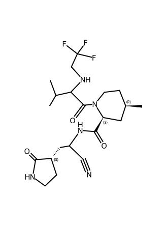 CC(C)C(NCC(F)(F)F)C(=O)N1CC[C@@H](C)C[C@H]1C(=O)NC(C#N)C[C@@H]1CCNC1=O